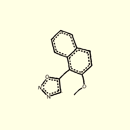 COc1ccc2ccccc2c1-c1[c]nno1